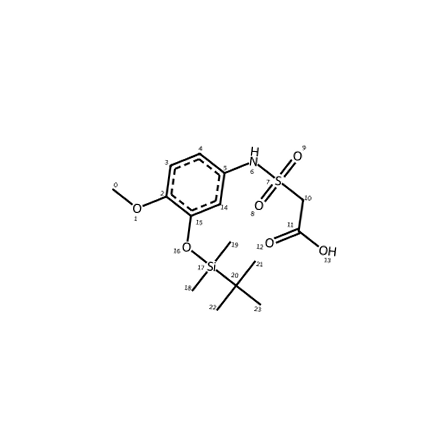 COc1ccc(NS(=O)(=O)CC(=O)O)cc1O[Si](C)(C)C(C)(C)C